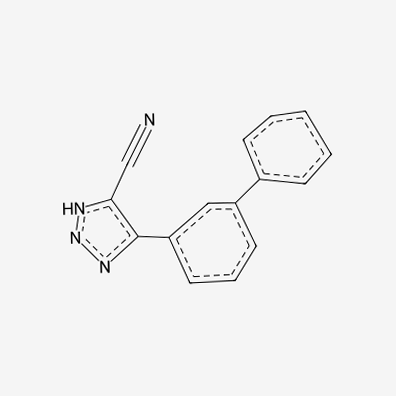 N#Cc1[nH]nnc1-c1cccc(-c2ccccc2)c1